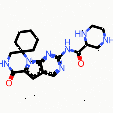 O=C1NCC2(CCCCC2)n2c1cc1cnc(NC(=O)C3CNCCN3)nc12